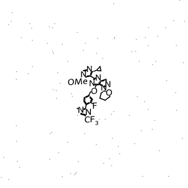 COc1ncnc(C2CC2)c1-c1nc(OCc2ccc(-c3nc(C(F)(F)F)cn3C)c(F)c2)c2c(cnn2C2CCCCO2)n1